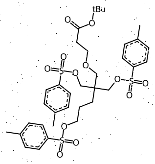 Cc1ccc(S(=O)(=O)OCCCC(COCCC(=O)OC(C)(C)C)(COS(=O)(=O)c2ccc(C)cc2)COS(=O)(=O)c2ccc(C)cc2)cc1